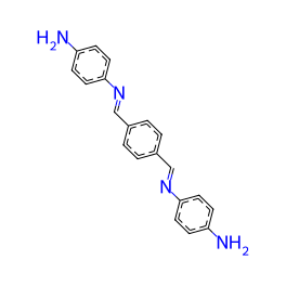 Nc1ccc(N=Cc2ccc(C=Nc3ccc(N)cc3)cc2)cc1